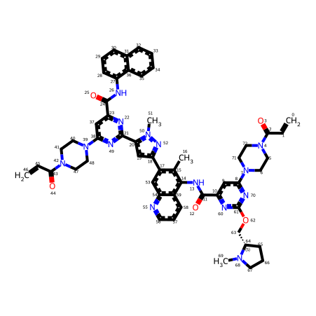 C=CC(=O)N1CCN(c2cc(C(=O)Nc3c(C)c(-c4cc(-c5nc(C(=O)Nc6cccc7ccccc67)cc(N6CCN(C(=O)C=C)CC6)n5)n(C)n4)cc4ncccc34)nc(OC[C@@H]3CCCN3C)n2)CC1